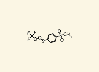 CS(=O)(=O)c1ccc(SOOC(F)(F)F)cc1